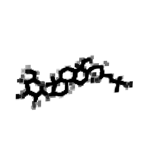 C[C@H](C(O)CCC(C)(C)O)[C@H]1CC[C@@]2(C)C3=C(CC[C@]12C)[C@@]1(C)CC[C@H](OC2OC(CO)C(O)C(O)C2O)C(C)(C)C1CC3